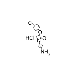 Cl.NC12CC(N3CCC(Oc4ccc(Cl)cc4)C3=O)(C1)C2